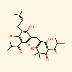 CC(C)=CCc1c(O)c(CC2=C(O)C(C)(C)C(=O)C(C(=O)C(C)C)=C2O)c(O)c(C(=O)C(C)C)c1O